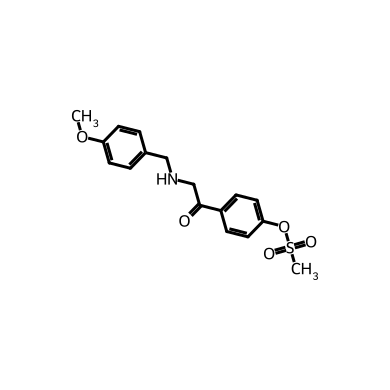 COc1ccc(CNCC(=O)c2ccc(OS(C)(=O)=O)cc2)cc1